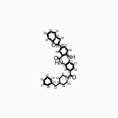 O=C1Nc2cc(C(=O)N3CCC(Cc4ccccc4)CC3)ccc2Nc2ccc(-c3cc4ccccc4o3)cc21